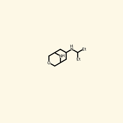 CCC(CC)NC1CC2COCC(C1)N2